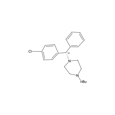 CCCCN1CCN([C@@H](c2ccccc2)c2ccc(Cl)cc2)CC1